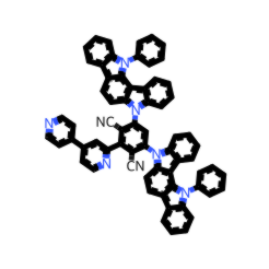 N#Cc1c(-n2c3ccccc3c3c2ccc2c4ccccc4n(-c4ccccc4)c23)cc(-n2c3ccccc3c3c2ccc2c4ccccc4n(-c4ccccc4)c23)c(C#N)c1-c1cc(-c2ccncc2)ccn1